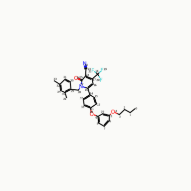 CCCCOc1cccc(Oc2ccc(-c3cc(C(F)(F)F)c(C#N)c(=O)n3Cc3ccc(C)cc3C)cc2)c1